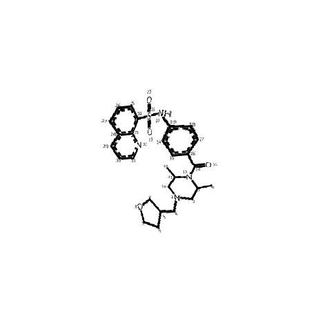 CC1CN(CC2CCOC2)CC(C)N1C(=O)c1ccc(NS(=O)(=O)c2cccc3cccnc23)cc1